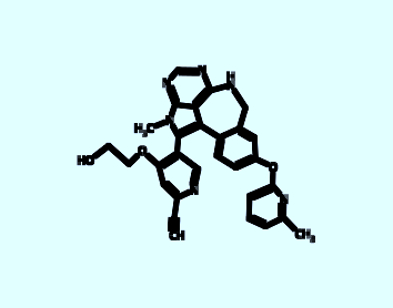 C#Cc1cc(OCCO)c(-c2c3c4c(ncnc4n2C)NCc2cc(Oc4cccc(C)n4)ccc2-3)cn1